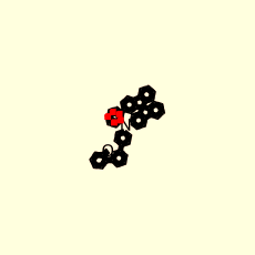 c1ccc(-c2ccc3c(c2)C2(c4ccccc4-3)c3ccccc3-c3ccc(N(c4ccccc4)c4ccc(-c5cccc6c5oc5ccccc56)cc4)cc32)cc1